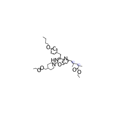 CCCCOc1ccc(C[C@H](NC(=O)N2CCC(COOCC)CC2)c2nc(/C=C(C)/C=C(/C)C(=O)OCC)cs2)cc1